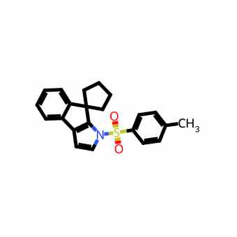 Cc1ccc(S(=O)(=O)n2ccc3c2C2(CCCC2)c2ccccc2-3)cc1